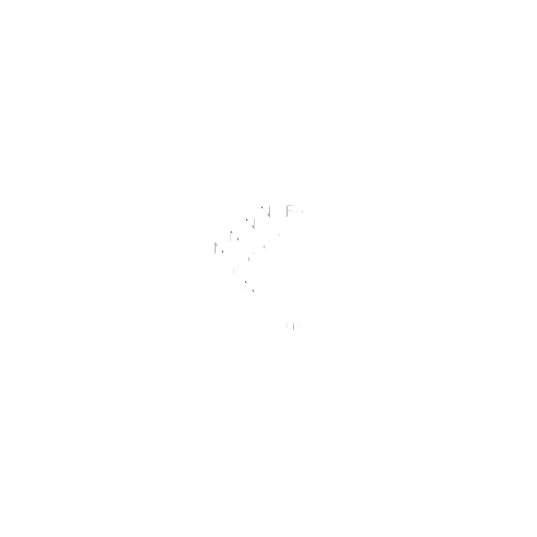 [C-]#N.[C-]#N.[C-]#N.[C-]#N.[C-]#N.[Cu+2].[Fe+3]